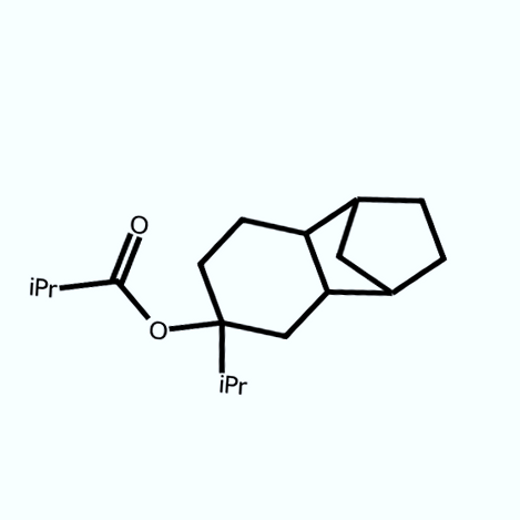 CC(C)C(=O)OC1(C(C)C)CCC2C3CCC(C3)C2C1